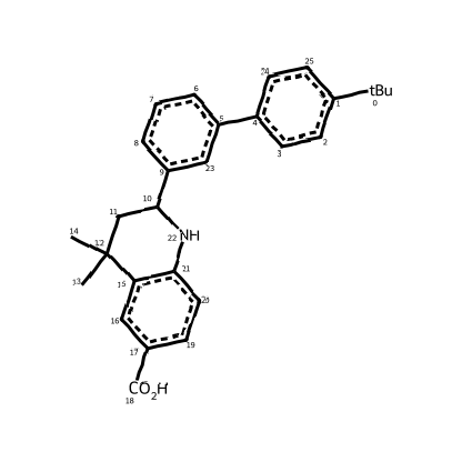 CC(C)(C)c1ccc(-c2cccc(C3CC(C)(C)c4cc(C(=O)O)ccc4N3)c2)cc1